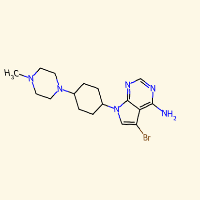 CN1CCN(C2CCC(n3cc(Br)c4c(N)ncnc43)CC2)CC1